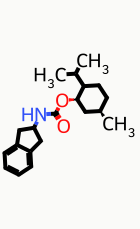 CC(C)C1CC[C@@H](C)C[C@H]1OC(=O)NC1Cc2ccccc2C1